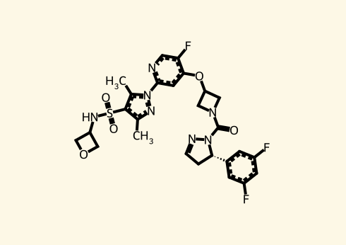 Cc1nn(-c2cc(OC3CN(C(=O)N4N=CC[C@H]4c4cc(F)cc(F)c4)C3)c(F)cn2)c(C)c1S(=O)(=O)NC1COC1